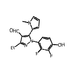 CCc1nn(-c2ccc(O)c(F)c2F)c(-c2cccn2C)c1C=O